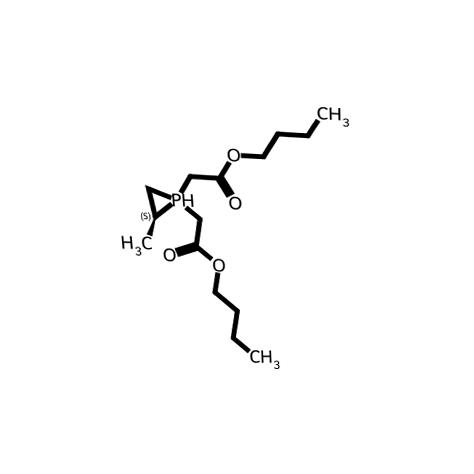 CCCCOC(=O)C[PH]1(CC(=O)OCCCC)C[C@@H]1C